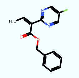 C/C=C(\C(=O)OCc1ccccc1)c1ncc(F)cn1